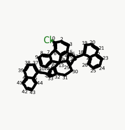 Clc1cccc2c1-c1ccccc1C21c2ccc(-c3cccc4ccccc34)cc2CCc2ccc(-c3cccc4ccccc34)cc21